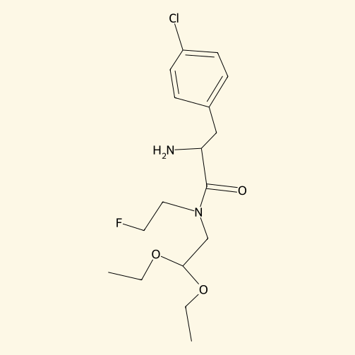 CCOC(CN(CCF)C(=O)C(N)Cc1ccc(Cl)cc1)OCC